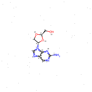 Nc1ncc2ncn([C@H]3CO[C@@H](CO)O3)c2n1